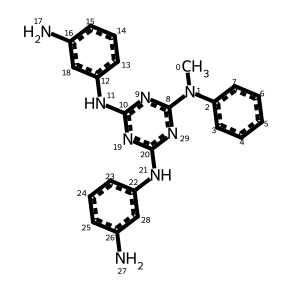 CN(c1ccccc1)c1nc(Nc2cccc(N)c2)nc(Nc2cccc(N)c2)n1